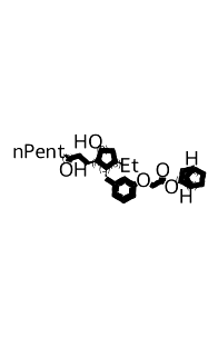 CCCCC[C@H](O)CC[C@@H]1[C@@H](Cc2cccc(OCC(=O)O[C@@H]3C[C@@H]4CC[C@H]3C4)c2)[C@@H](CC)C[C@H]1O